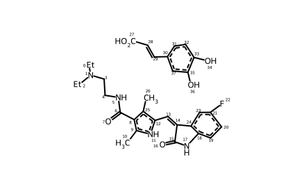 CCN(CC)CCNC(=O)c1c(C)[nH]c(C=C2C(=O)Nc3ccc(F)cc32)c1C.O=C(O)C=Cc1ccc(O)c(O)c1